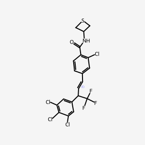 O=C(NC1CSC1)c1ccc(/C=C/C(c2cc(Cl)c(Cl)c(Cl)c2)C(F)(F)F)cc1Cl